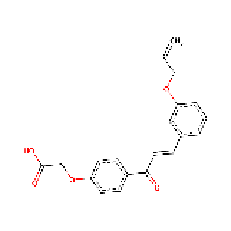 C=CCOc1cccc(/C=C/C(=O)c2ccc(OCC(=O)O)cc2)c1